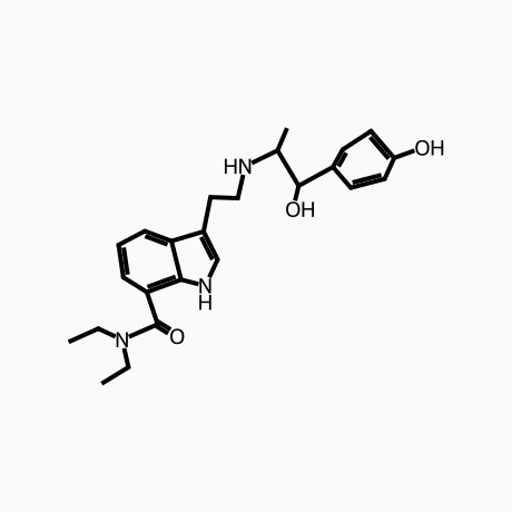 CCN(CC)C(=O)c1cccc2c(CCNC(C)C(O)c3ccc(O)cc3)c[nH]c12